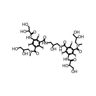 CN(CC(O)CO)C(=O)c1c(I)c(NC(=O)C(O)CO)c(I)c(C(=O)NCC(O)CNC(=O)c2c(I)c(NC(=O)C(O)CO)c(I)c(C(=O)N(C)CC(O)CO)c2I)c1I